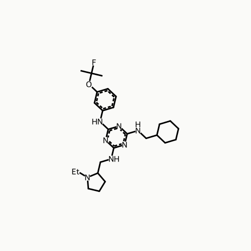 CCN1CCCC1CNc1nc(NCC2CCCCC2)nc(Nc2cccc(OC(C)(C)F)c2)n1